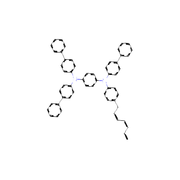 C=C/C=C\C=C/Cc1ccc(N(c2ccc(-c3ccccc3)cc2)c2ccc(N(c3ccc(-c4ccccc4)cc3)c3ccc(-c4ccccc4)cc3)cc2)cc1